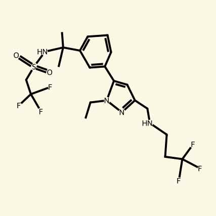 CCn1nc(CNCCC(F)(F)F)cc1-c1cccc(C(C)(C)NS(=O)(=O)CC(F)(F)F)c1